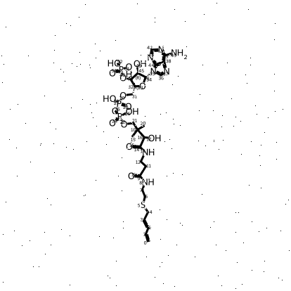 C=CC=CCSCCNC(=O)CCNC(=O)C(O)C(C)(C)COP(=O)(O)OP(=O)(O)OC[C@H]1O[C@@H](n2cnc3c(N)ncnc32)[C@H](O)[C@@H]1OP(=O)(O)O